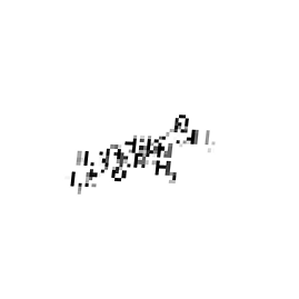 CCCC(N)C(=O)C(=O)NCC(=O)NC(CCCC(=O)ON)C(N)=O